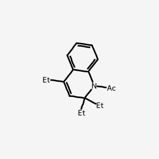 CCC1=CC(CC)(CC)N(C(C)=O)c2ccccc21